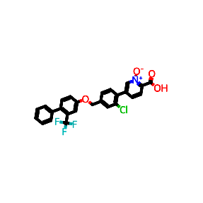 O=C(O)c1ccc(-c2ccc(COc3ccc(-c4ccccc4)c(C(F)(F)F)c3)cc2Cl)c[n+]1[O-]